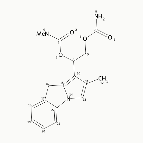 CNC(=O)OC(COC(N)=O)c1c(C)cn2c1Cc1ccccc1-2